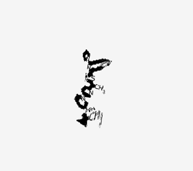 CC(c1ccc(N2CCC[C@@H](NCC3(C)CC3)C2)cn1)c1nnc(-c2cncc(N3CCCC3)n2)s1